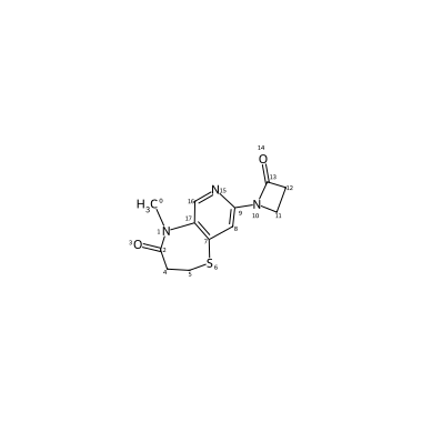 CN1C(=O)CCSc2cc(N3CCC3=O)ncc21